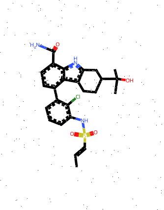 CC=CS(=O)(=O)Nc1cccc(-c2ccc(C(N)=O)c3[nH]c4c(c23)CCC(C(C)(C)O)C4)c1Cl